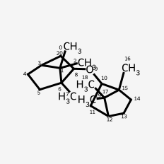 CC1(C)C2CCC1(C)C(OC1CC3CCC1(C)C3(C)C)C2